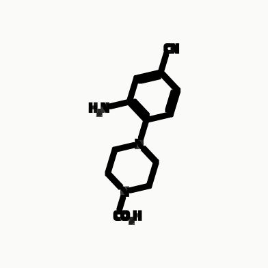 N#Cc1ccc(N2CCN(C(=O)O)CC2)c(N)c1